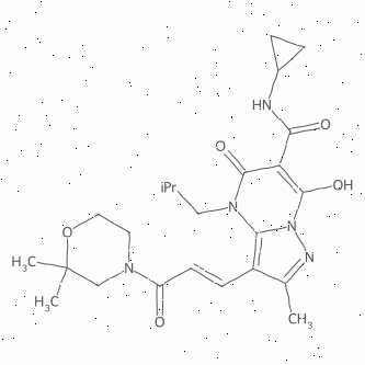 Cc1nn2c(O)c(C(=O)NC3CC3)c(=O)n(CC(C)C)c2c1C=CC(=O)N1CCOC(C)(C)C1